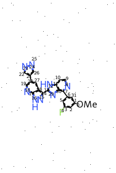 COc1cc(F)cc(-c2nccc3[nH]c(-c4n[nH]c5ncc(-c6cnn(C)c6)cc45)nc23)c1